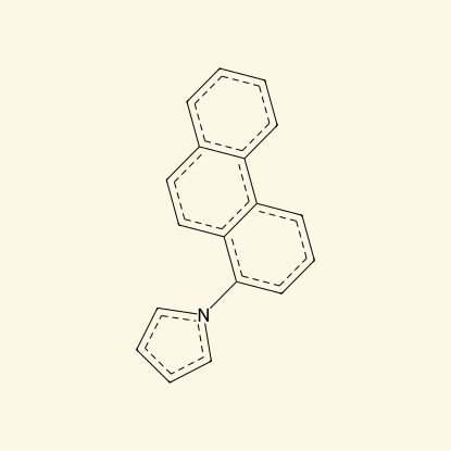 c1ccc2c(c1)ccc1c(-n3cccc3)cccc12